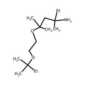 CCC(C)(N)CC(C)(C)OCCOC(C)(C)CC